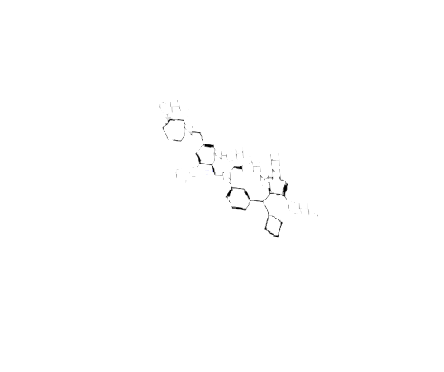 C=CN(/C=C1/C(C(F)(F)F)=CC(CN2CCC[C@H](C)C2)=CN1C)c1cccc(C(c2n[nH]cc2C)C2CCC2)c1